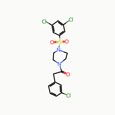 O=C(Cc1cccc(Cl)c1)N1CCN(S(=O)(=O)c2cc(Cl)cc(Cl)c2)CC1